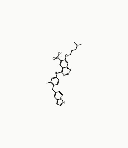 Cc1cc(Nc2ncnc3cc(OCCCN(C)C)c([N+](=O)[O-])cc23)ccc1Cc1ccn2ncnc2c1